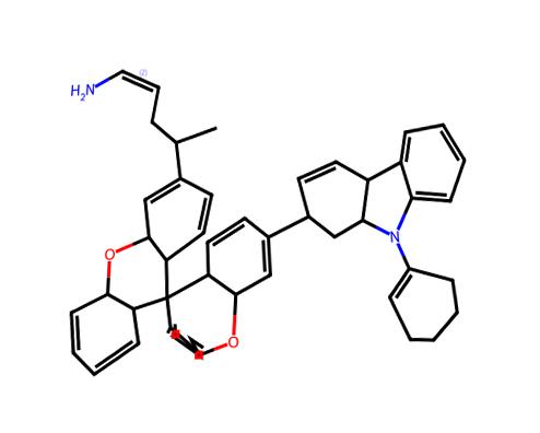 CC(C/C=C\N)C1=CC2OC3C=CC=CC3C3(C4=CCCC=C4OC4C=C(C5C=CC6c7ccccc7N(C7=CCCCC7)C6C5)C=CC43)C2C=C1